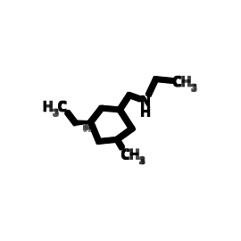 CCNCC1CC(C)C[C@@H](CC)C1